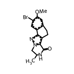 COc1cc2c(cc1Br)-c1nn3c(c1CC2)C(=O)NC(C)C3